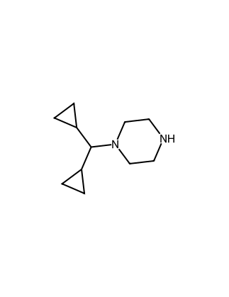 C1CN(C(C2CC2)C2CC2)CCN1